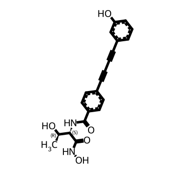 C[C@@H](O)[C@H](NC(=O)c1ccc(C#CC#Cc2cccc(O)c2)cc1)C(=O)NO